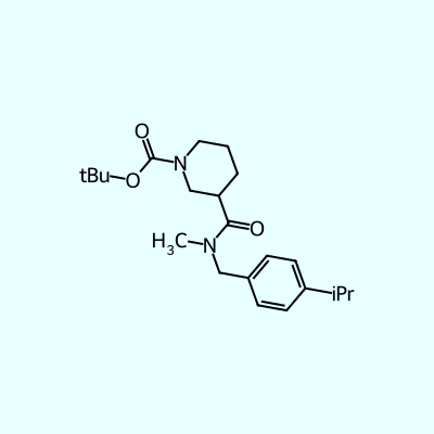 CC(C)c1ccc(CN(C)C(=O)C2CCCN(C(=O)OC(C)(C)C)C2)cc1